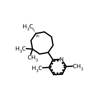 Cc1ccc(C)c(C2CCC[C@@H](C)CC(C)(C)C2)n1